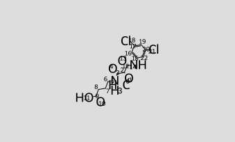 COC(C(=O)NCCCC(=O)O)C(=O)Nc1cc(Cl)cc(Cl)c1